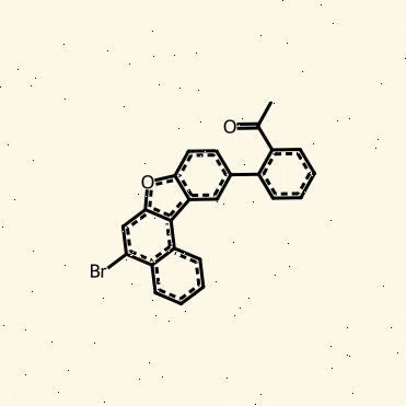 CC(=O)c1ccccc1-c1ccc2oc3cc(Br)c4ccccc4c3c2c1